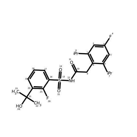 CC(C)c1cc(F)cc(C(C)C)c1CC(=O)NS(=O)(=O)c1cccc(C(C)(C)O)c1F